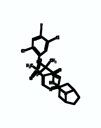 CC(C)(Oc1cc(Cl)c(F)cc1Cl)C(=O)NC1CC2CCC(C1)N2c1ccc(S(C)(=O)=O)cn1